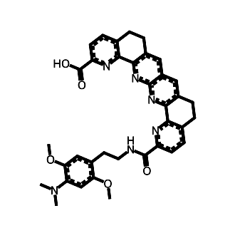 COc1cc(N(C)C)c(OC)cc1CCNC(=O)c1ccc2c(n1)-c1nc3nc4c(cc3cc1CC2)CCc1ccc(C(=O)O)nc1-4